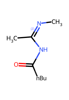 CCCCC(=O)N/C(C)=N\C